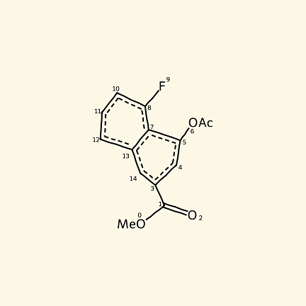 COC(=O)c1cc(OC(C)=O)c2c(F)cccc2c1